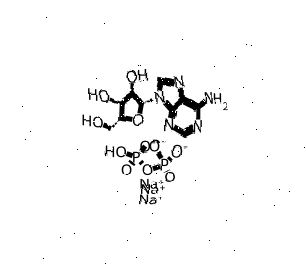 Nc1ncnc2c1ncn2[C@@H]1O[C@H](CO)[C@@H](O)[C@H]1O.O=P([O-])([O-])OP(=O)([O-])O.[Na+].[Na+].[Na+]